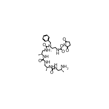 C[C@H](N)CNC(=O)N[C@@H](C)CNC(=O)N[C@@H](C)CNC(=O)N(Cc1ccccc1)[C@@H](C)CNC(=O)ON1C(=O)CCC1=O